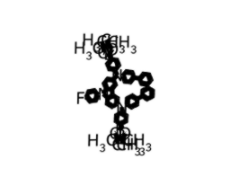 CC1(C)OB(c2ccc(N(c3ccc(-c4ccccc4)cc3)c3ccc4c(c3)c3cc(N(c5ccc(B6OC(C)(C)C(C)(C)O6)cc5)c5ccc(-c6ccccc6)cc5)ccc3n4-c3ccc(F)cc3)cc2)OC1(C)C